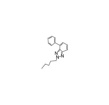 CCCCCn1nc2cccc(-c3ccccc3)c2n1